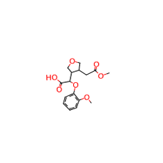 COC(=O)CC1COCC1C(Oc1ccccc1OC)C(=O)O